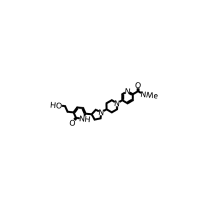 CNC(=O)c1ccc(N2CCC(N3CCC(c4ccc(CCO)c(=O)[nH]4)C3)CC2)cn1